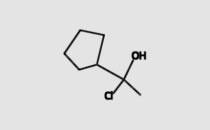 CC(O)(Cl)C1CCCC1